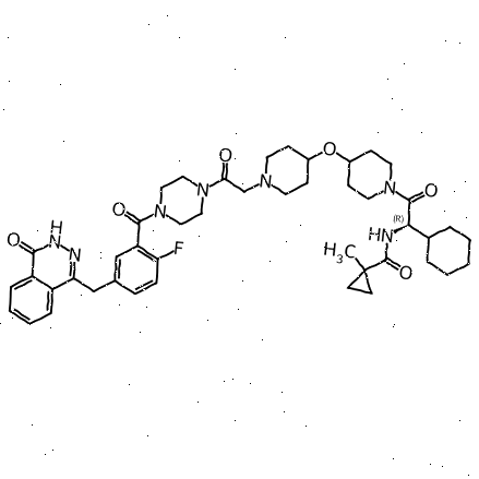 CC1(C(=O)N[C@@H](C(=O)N2CCC(OC3CCN(CC(=O)N4CCN(C(=O)c5cc(Cc6n[nH]c(=O)c7ccccc67)ccc5F)CC4)CC3)CC2)C2CCCCC2)CC1